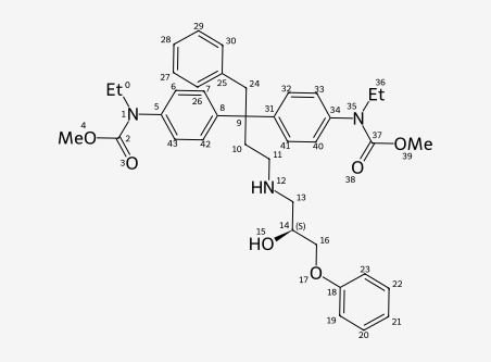 CCN(C(=O)OC)c1ccc(C(CCNC[C@H](O)COc2ccccc2)(Cc2ccccc2)c2ccc(N(CC)C(=O)OC)cc2)cc1